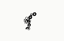 C=CC(=O)N1CC[C@@H](n2nc(-c3ccc(Oc4ccccc4)cc3)c3c(O)ncnc32)C1